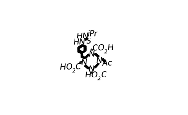 CC(=O)CN1CCN(CC(=O)O)CCN(CC(=O)O)C(Cc2ccc(NC(=S)NC(C)C)cc2)CN(CC(=O)O)CC1